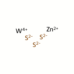 [S-2].[S-2].[S-2].[W+4].[Zn+2]